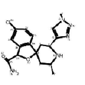 C[C@H]1CC2(C[C@@H](c3cn(C)nn3)N1)OC(C(N)=O)c1cc(Cl)ccc12